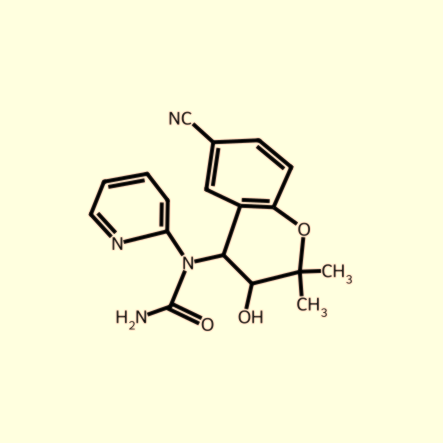 CC1(C)Oc2ccc(C#N)cc2C(N(C(N)=O)c2ccccn2)C1O